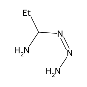 CCC(N)/N=N\N